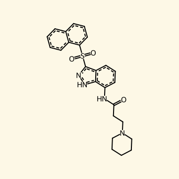 O=C(CCN1CCCCC1)Nc1cccc2c(S(=O)(=O)c3cccc4ccccc34)n[nH]c12